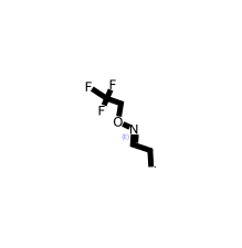 [CH2]C/C=N/OCC(F)(F)F